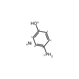 Oc1ccc(P)cc1.[Ni]